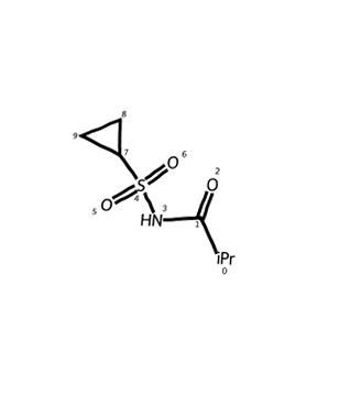 CC(C)C(=O)NS(=O)(=O)C1CC1